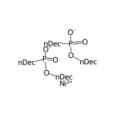 CCCCCCCCCCOP(=O)([O-])CCCCCCCCCC.CCCCCCCCCCOP(=O)([O-])CCCCCCCCCC.[Ni+2]